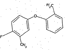 [CH2]c1ccccc1Oc1ccc(F)c(C)c1